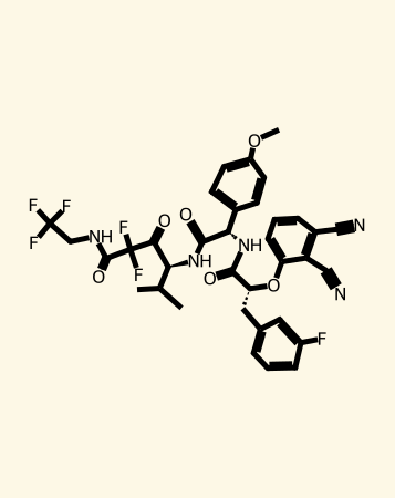 COc1ccc([C@H](NC(=O)[C@@H](Cc2cccc(F)c2)Oc2cccc(C#N)c2C#N)C(=O)N[C@H](C(=O)C(F)(F)C(=O)NCC(F)(F)F)C(C)C)cc1